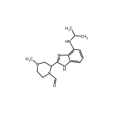 CC(C)Nc1cccc2[nH]c(C3CN(C)CCN3C=O)nc12